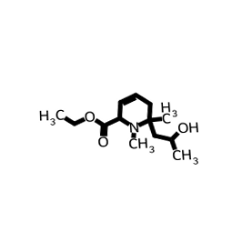 CCOC(=O)C1C=CCC(C)(CC(C)O)N1C